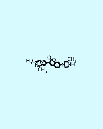 Cc1cn2cc(-c3cc4ccc(N5CCN[C@H](C)C5)cc4oc3=O)cc2c(C)n1